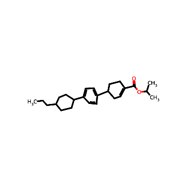 CCCC1CCC(c2ccc(C3CC=C(C(=O)OC(C)C)CC3)cc2)CC1